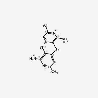 CC/C=C(/Sc1ncc(Cl)nc1N)C(Cl)=C(N)N